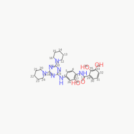 O=C(Nc1ccc(Nc2nc(N3CCCCC3)nc(N3CCCCC3)n2)cc1O)c1cccc(O)c1O